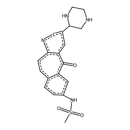 CS(=O)(=O)Nc1ccc2ccc3ncc(C4CNCCN4)cc3c(=O)c2c1